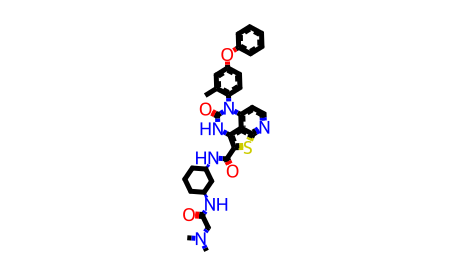 Cc1cc(Oc2ccccc2)ccc1N1C(=O)Nc2c(C(=O)N[C@@H]3CCC[C@H](NC(=O)CN(C)C)C3)sc3nccc1c23